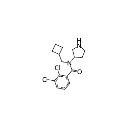 O=C(c1cccc(Cl)c1Cl)N(CC1CCC1)C1CCNC1